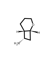 N[C@H]1C[C@H]2OCCC[C@@H]12